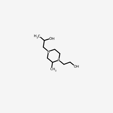 CC(O)CN1CCN(CCO)C(C)C1